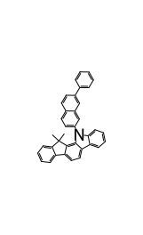 CC1(C)c2ccccc2-c2ccc3c4ccccc4n(-c4ccc5ccc(-c6ccccc6)cc5c4)c3c21